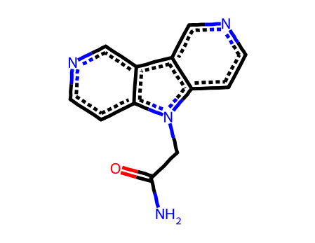 NC(=O)Cn1c2ccncc2c2cnccc21